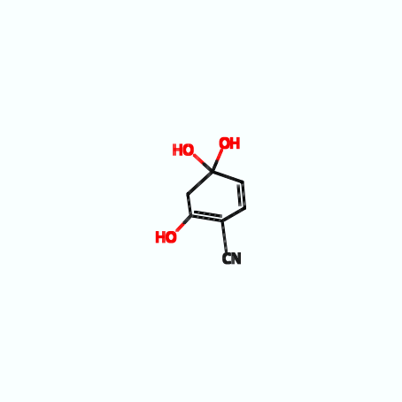 N#CC1=C(O)CC(O)(O)C=C1